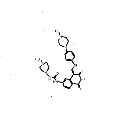 CN1CCN(NC(=O)Nc2ccc3c(c2)C(=CNc2ccc(N4CCN(C)CC4)cc2)C(=O)NC3=O)CC1